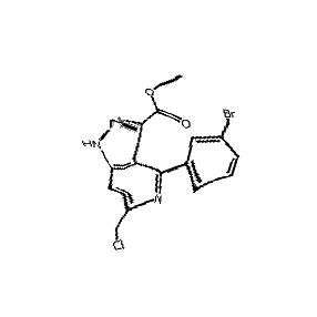 COC(=O)c1n[nH]c2cc(Cl)nc(-c3cccc(Br)c3)c12